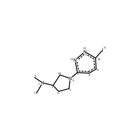 CN(C)C1CCN(c2ccc(I)nn2)C1